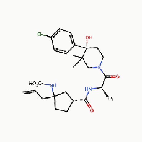 C=CCC1(NC(=O)O)CC[C@@H](C(=O)N[C@@H](C(=O)N2CC[C@](O)(c3ccc(Cl)cc3)C(C)(C)C2)C(C)C)C1